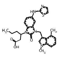 CCCC(CC(=O)O)n1c(=O)n(Cc2cn(C)c3cccc(C)c23)c2cc(Nc3nccs3)ccc21